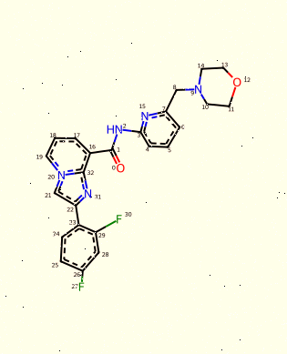 O=C(Nc1cccc(CN2CCOCC2)n1)c1cccn2cc(-c3ccc(F)cc3F)nc12